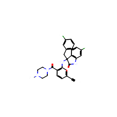 C#Cc1ccc(C(=O)N2CCN(C(C)=O)CC2)c(NC2(Cc3cccc(Cl)c3)C(=O)Nc3cc(Cl)ccc32)c1